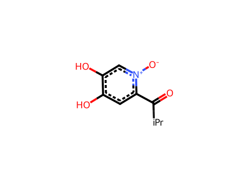 CC(C)C(=O)c1cc(O)c(O)c[n+]1[O-]